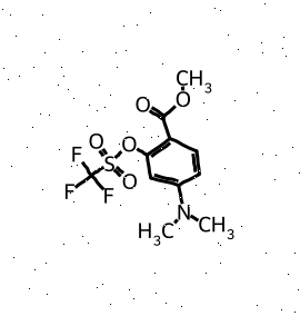 COC(=O)c1ccc(N(C)C)cc1OS(=O)(=O)C(F)(F)F